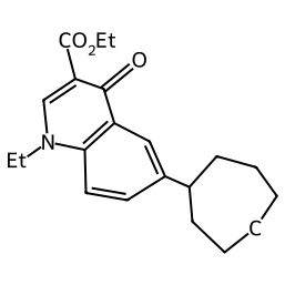 CCOC(=O)c1cn(CC)c2ccc(C3CCCCCC3)cc2c1=O